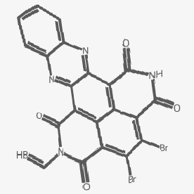 B=CN1C(=O)c2c(Br)c(Br)c3c4c(c5nc6ccccc6nc5c(c24)C1=O)C(=O)NC3=O